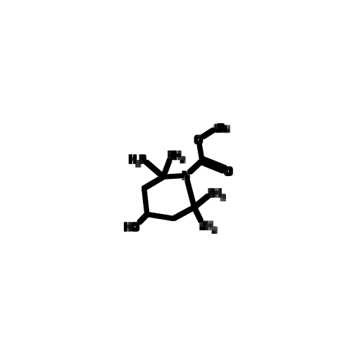 BC1(B)CC(O)CC(B)(B)N1C(=O)OC(C)(C)C